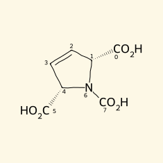 O=C(O)[C@H]1C=C[C@@H](C(=O)O)N1C(=O)O